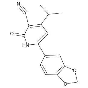 CC(C)c1cc(-c2ccc3c(c2)OCO3)[nH]c(=O)c1C#N